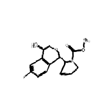 CC(C)(C)OC(=O)N1CCCC1[C@@H]1OCC(O)c2cc(F)ccc21